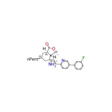 CCCCC[C@H]1C[C@H]2C(=O)O[C@H](C)[C@H]2[C@@](N)(/C=C/c2ccc(-c3cccc(F)c3)cn2)C1